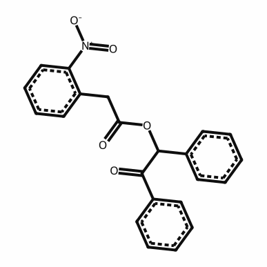 O=C(Cc1ccccc1[N+](=O)[O-])OC(C(=O)c1ccccc1)c1ccccc1